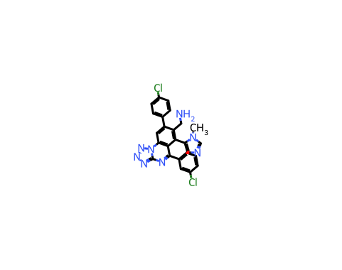 Cn1cncc1-c1c(CN)c(-c2ccc(Cl)cc2)cc2c1c(-c1cccc(Cl)c1)nc1nnnn12